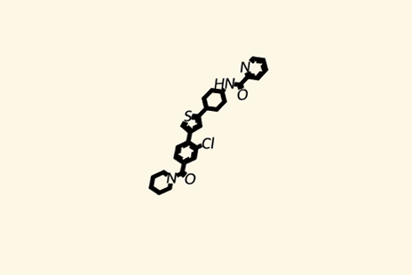 O=C(NC1CCC(c2cc(-c3ccc(C(=O)N4CCCCC4)cc3Cl)cs2)CC1)c1ccccn1